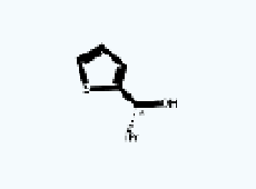 CC(C)[C@@H](O)c1cccs1